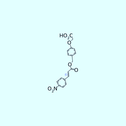 O=C(O)COc1ccc(COC(=O)/C=C/c2ccc([N+](=O)[O-])cc2)cc1